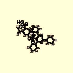 Cc1cc(S(=O)(=O)O)c(C(C)C)cc1OS(=O)(=O)c1c(C2CCCCC2)cc(C2CCCCC2)cc1C1CCCCC1